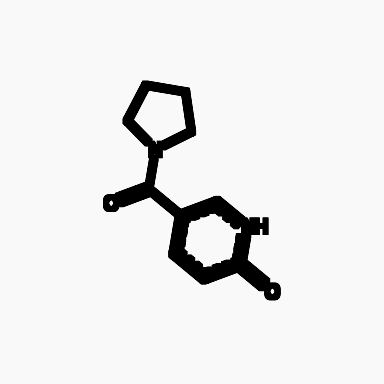 O=C(c1ccc(=O)[nH]c1)N1CCCC1